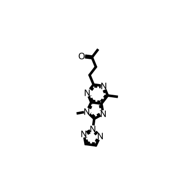 CC(=O)CCc1nc(C)c2nc(-n3nccn3)n(C)c2n1